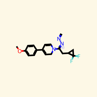 C=N/N=C(/CC1CC1(F)F)N1C=CC(c2ccc(OC)cc2)=CC1